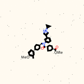 COc1ccc([C@H]2CC[C@H](CN(c3cccc(-c4cnn(C5CC5)c4)c3)C(=O)[C@H]3CC[C@H](C(=O)OC)CC3)CC2)cc1C